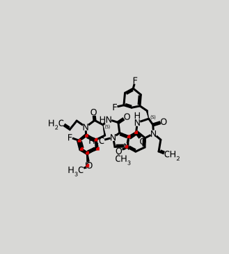 C=CCN(C(=O)[C@H](Cc1cc(F)cc(F)c1)NC(=O)c1ncn(C)c1C(=O)N[C@@H](Cc1cc(F)cc(F)c1)C(=O)N(CC=C)c1ccc(OC)cc1)c1ccc(OC)cc1